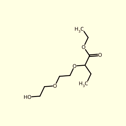 CCOC(=O)C(CC)OCCOCCO